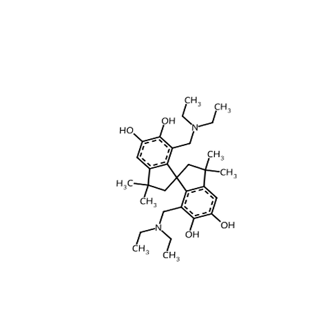 CCN(CC)Cc1c(O)c(O)cc2c1C1(CC2(C)C)CC(C)(C)c2cc(O)c(O)c(CN(CC)CC)c21